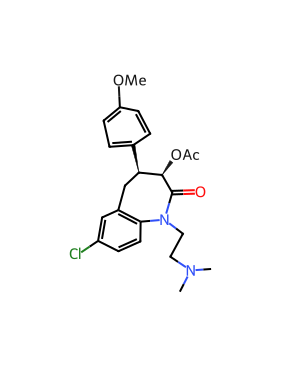 COc1ccc([C@@H]2Cc3cc(Cl)ccc3N(CCN(C)C)C(=O)[C@@H]2OC(C)=O)cc1